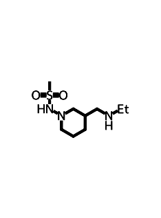 CCNCC1CCCN(NS(C)(=O)=O)C1